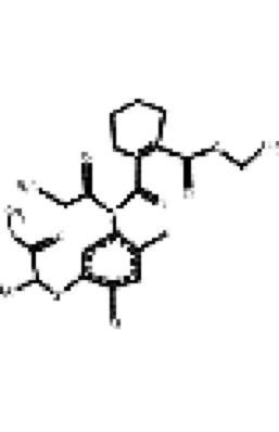 CCOC(=O)C1=C(C(=O)N(C(=O)CC)c2cc(SC(C)C(=O)OC)c(Cl)cc2F)CCCC1